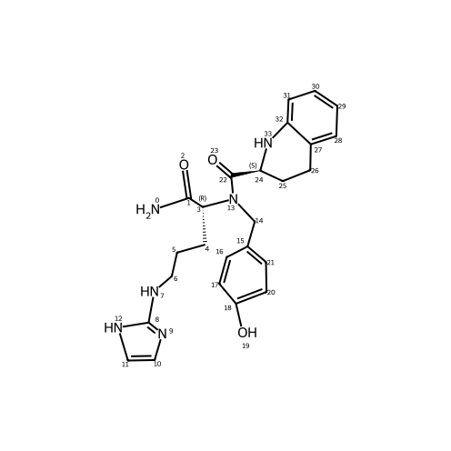 NC(=O)[C@@H](CCCNc1ncc[nH]1)N(Cc1ccc(O)cc1)C(=O)[C@@H]1CCc2ccccc2N1